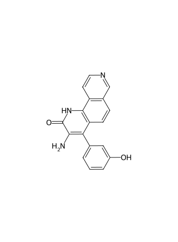 Nc1c(-c2cccc(O)c2)c2ccc3cnccc3c2[nH]c1=O